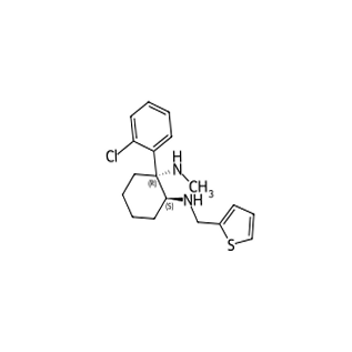 CN[C@@]1(c2ccccc2Cl)CCCC[C@@H]1NCc1cccs1